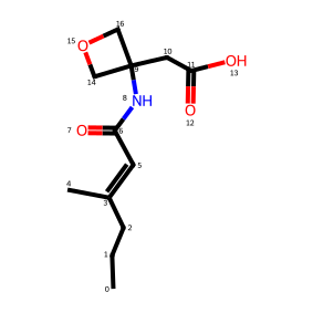 CCC/C(C)=C/C(=O)NC1(CC(=O)O)COC1